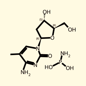 Cc1cn([C@H]2C[C@H](O)[C@@H](CO)O2)c(=O)nc1N.NP(O)O